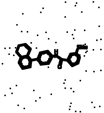 CSc1cccc(C(=O)Nc2ccc(-c3cccc4c3C=CCC4)cc2)c1